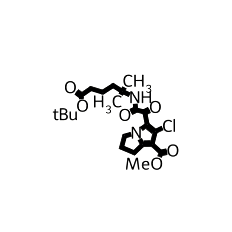 COC(=O)c1c(Cl)c(C(=O)C(=O)NC(C)(C)CCCC(=O)OC(C)(C)C)n2c1CCC2